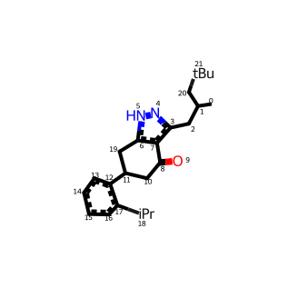 CC(Cc1n[nH]c2c1C(=O)CC(c1ccccc1C(C)C)C2)CC(C)(C)C